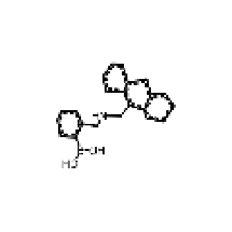 OB(O)c1ccccc1CNCc1c2ccccc2cc2ccccc12